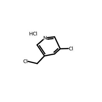 Cl.ClCc1cncc(Cl)c1